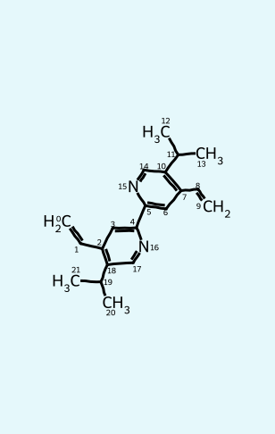 C=Cc1cc(-c2cc(C=C)c(C(C)C)cn2)ncc1C(C)C